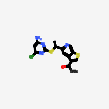 COC(=O)c1csc2cnc(C(C)Sc3nc(N)cc(Cl)n3)cc12